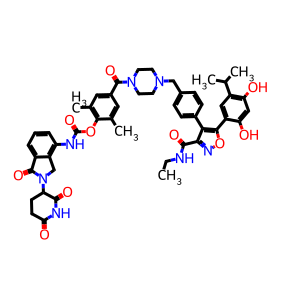 CCNC(=O)c1noc(-c2cc(C(C)C)c(O)cc2O)c1-c1ccc(CN2CCN(C(=O)c3cc(C)c(OC(=O)Nc4cccc5c4CN(C4CCC(=O)NC4=O)C5=O)c(C)c3)CC2)cc1